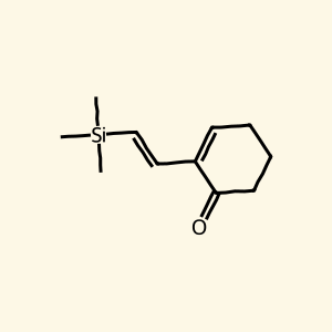 C[Si](C)(C)C=CC1=CCCCC1=O